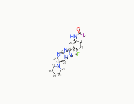 O=C(I)Nc1ccc(F)c(-c2nc3ncc(N4CCCCC4)cn3n2)c1